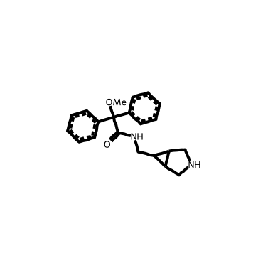 COC(C(=O)NCC1C2CNCC21)(c1ccccc1)c1ccccc1